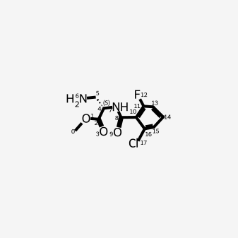 COC(=O)[C@H](CN)NC(=O)c1c(F)cccc1Cl